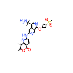 C[C@@H]1OC(=O)c2ccc(Nc3cc4c(C(C)(C)N)cnc(O[C@H]5C[C@H](S(C)(=O)=O)C5)c4cn3)nc2[C@H]1C